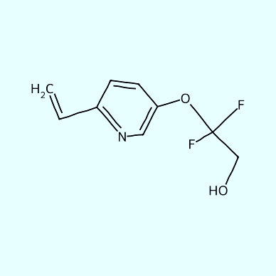 C=Cc1ccc(OC(F)(F)CO)cn1